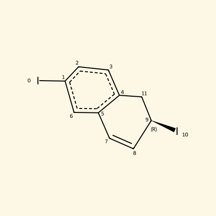 Ic1ccc2c(c1)C=C[C@H](I)C2